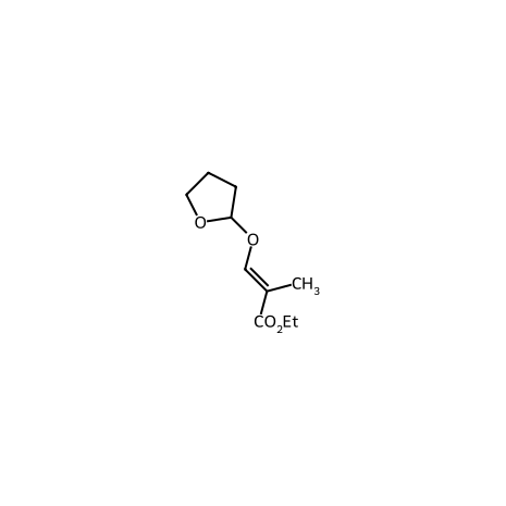 CCOC(=O)C(C)=COC1CCCO1